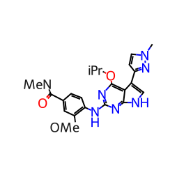 CNC(=O)c1ccc(Nc2nc(OC(C)C)c3c(-c4ccn(C)n4)c[nH]c3n2)c(OC)c1